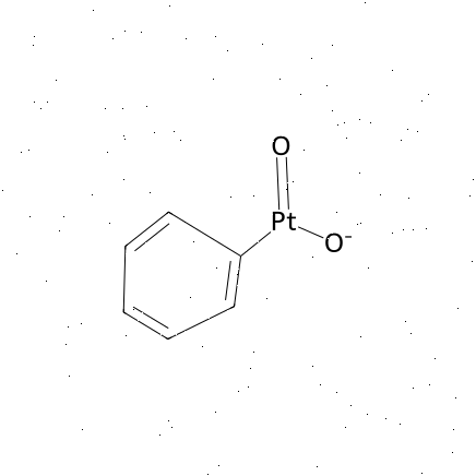 [O]=[Pt]([O-])[c]1ccccc1